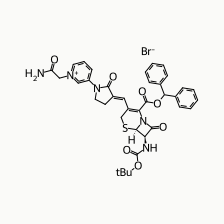 CC(C)(C)OC(=O)N[C@@H]1C(=O)N2C(C(=O)OC(c3ccccc3)c3ccccc3)=C(C=C3CCN(c4ccc[n+](CC(N)=O)c4)C3=O)CS[C@H]12.[Br-]